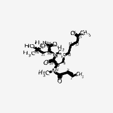 CCCC(=O)N(C)[C@H](CSCCCC(C)=O)C(=O)N(C)[C@@H](CC(C)(C)O)C(N)=O